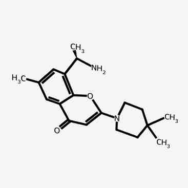 Cc1cc([C@@H](C)N)c2oc(N3CCC(C)(C)CC3)cc(=O)c2c1